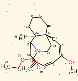 C=C1/C=C\C(OC)=C/C[C@]23CCCC[C@@H]2[C@H](C1)N(C(=O)OCC)CC3